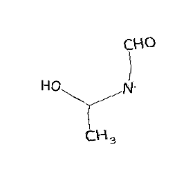 CC(O)[N]C=O